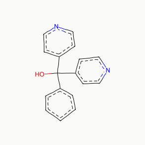 OC(c1ccccc1)(c1ccncc1)c1ccncc1